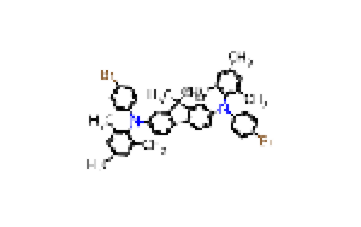 Cc1cc(C)c(N(c2ccc(Br)cc2)c2ccc3c(c2)C(C)(C)c2cc(N(c4ccc(Br)cc4)c4c(C)cc(C)cc4C)ccc2-3)c(C)c1